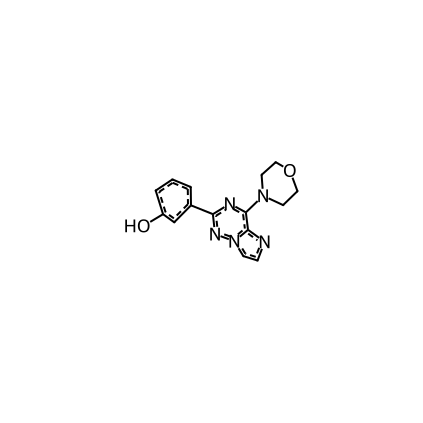 Oc1cccc(-c2nc(N3CCOCC3)c3nccn3n2)c1